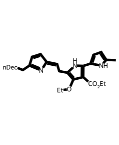 CCCCCCCCCCCC1=NC(=CCc2[nH]c(-c3ccc(C)[nH]3)c(C(=O)OCC)c2OCC)C=C1